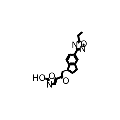 CCc1nc(-c2ccc3c(c2)CC[C@H]3CC(=O)c2cnc(O)o2)no1